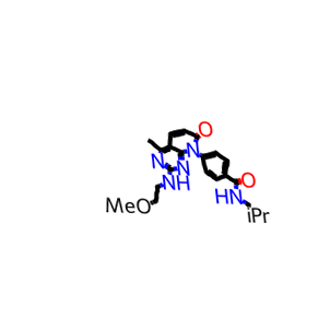 COCCNc1nc(C)c2ccc(=O)n(-c3ccc(C(=O)NCC(C)C)cc3)c2n1